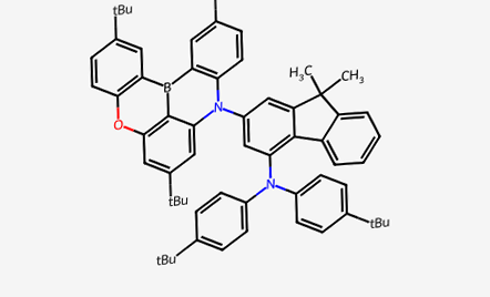 CC(C)(C)c1ccc(N(c2ccc(C(C)(C)C)cc2)c2cc(N3c4ccc(C(C)(C)C)cc4B4c5cc(C(C)(C)C)ccc5Oc5cc(C(C)(C)C)cc3c54)cc3c2-c2ccccc2C3(C)C)cc1